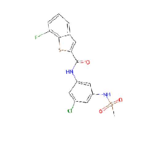 CS(=O)(=O)Nc1cc(Cl)cc(NC(=O)c2cc3cccc(F)c3s2)c1